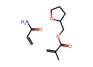 C=C(C)C(=O)OCC1CCCO1.C=CC(N)=O